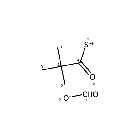 CC(C)(C)[C](=O)[Sr+].O=C[O-]